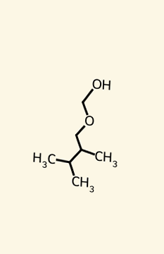 CC(C)C(C)COCO